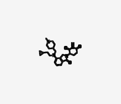 CN1CCC(CN(CCC2CC2)c2cccc3c2CN(C2CCC(=O)NC2=O)C3=O)CC1